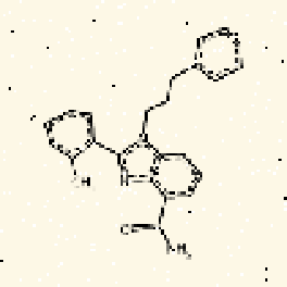 Cc1ccccc1-c1nc2c(C(N)=O)cccc2n1CCCc1ccccc1